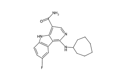 NC(=O)c1cnc(NC2CCCCCC2)c2c1[nH]c1ccc(F)cc12